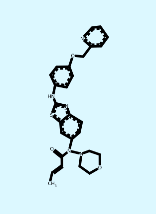 C/C=C/C(=O)N(c1ccc2nc(Nc3ccc(OCc4ccccn4)cc3)sc2c1)N1CCOCC1